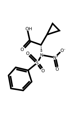 O=C(O)[C@H](C1CC1)N([N+](=O)[O-])S(=O)(=O)c1ccccc1